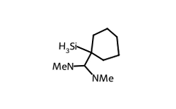 CNC(NC)C1([SiH3])CCCCC1